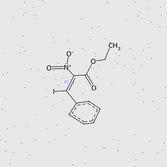 CCOC(=O)/C(=C(/I)c1ccccc1)[N+](=O)[O-]